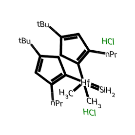 CCCC1=[C]([Hf]([CH3])([CH3])(=[SiH2])[C]2=C(CCC)C=C(C(C)(C)C)C2)CC(C(C)(C)C)=C1.Cl.Cl